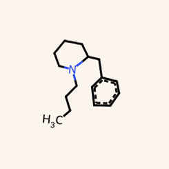 CCCCN1CCCCC1Cc1ccccc1